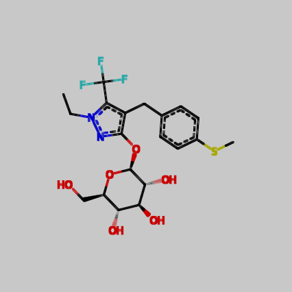 CCn1nc(O[C@@H]2O[C@H](CO)[C@@H](O)[C@H](O)[C@H]2O)c(Cc2ccc(SC)cc2)c1C(F)(F)F